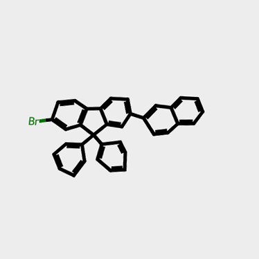 Brc1ccc2c(c1)C(c1ccccc1)(c1ccccc1)c1cc(-c3ccc4ccccc4c3)ccc1-2